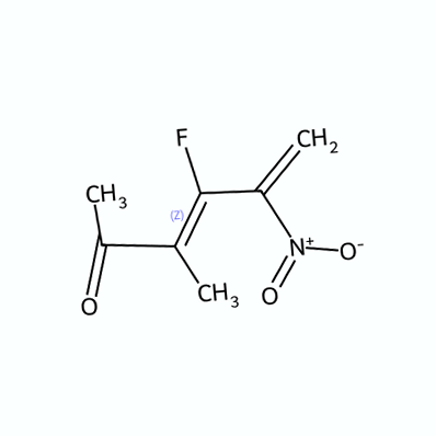 C=C(/C(F)=C(\C)C(C)=O)[N+](=O)[O-]